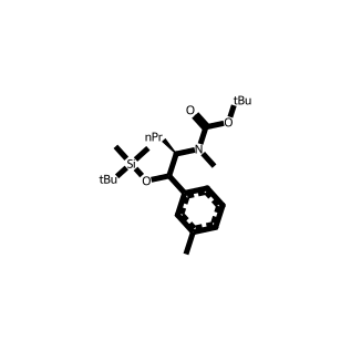 CCC[C@H](C(O[Si](C)(C)C(C)(C)C)c1cccc(C)c1)N(C)C(=O)OC(C)(C)C